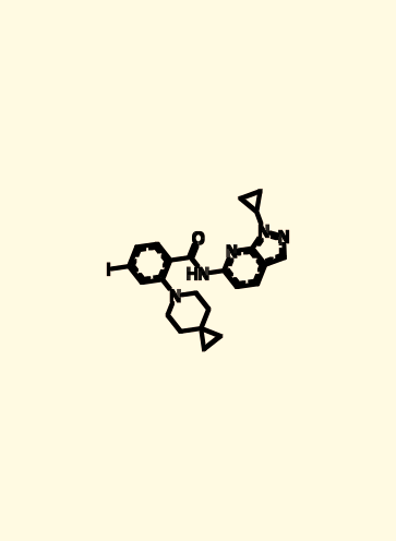 O=C(Nc1ccc2cnn(C3CC3)c2n1)c1ccc(I)cc1N1CCC2(CC1)CC2